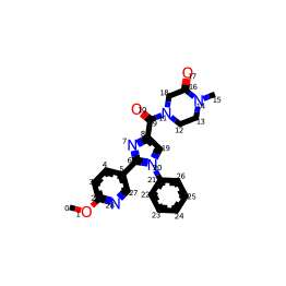 COc1ccc(-c2nc(C(=O)N3CCN(C)C(=O)C3)cn2-c2ccccc2)cn1